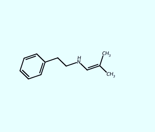 CC(C)=CNCCc1ccccc1